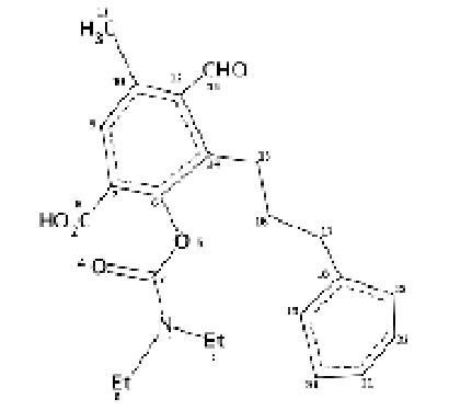 CCN(CC)C(=O)Oc1c(C(=O)O)cc(C)c(C=O)c1CCCc1ccccc1